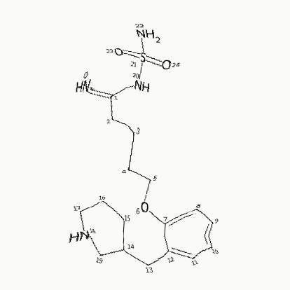 N=C(CCCCOc1ccccc1CC1CCCNC1)NS(N)(=O)=O